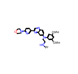 COc1cc(OC)cc(N(CCNC(C)C)c2ccc3ncc(-c4ccc(N5CCOCC5)nc4)nc3c2)c1